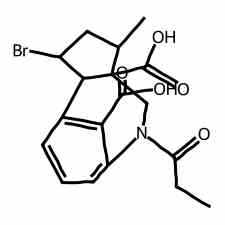 CCC(=O)N1CC2(C(=O)O)C(C)CC(Br)C2c2cccc1c2C(=O)O